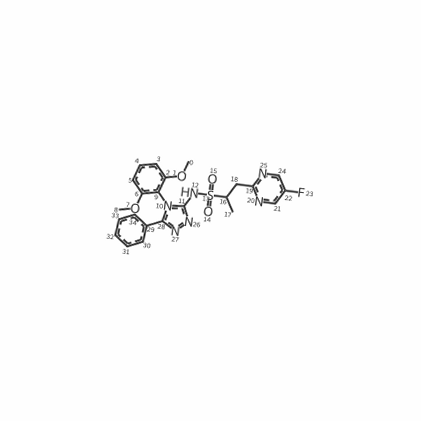 COc1cccc(OC)c1-n1c(NS(=O)(=O)C(C)Cc2ncc(F)cn2)nnc1-c1ccccc1